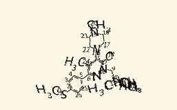 CSc1ccc(-c2nn(CC(C)C)c(=O)c(N3CCN(C)CC3)c2C)cc1.Cl.Cl